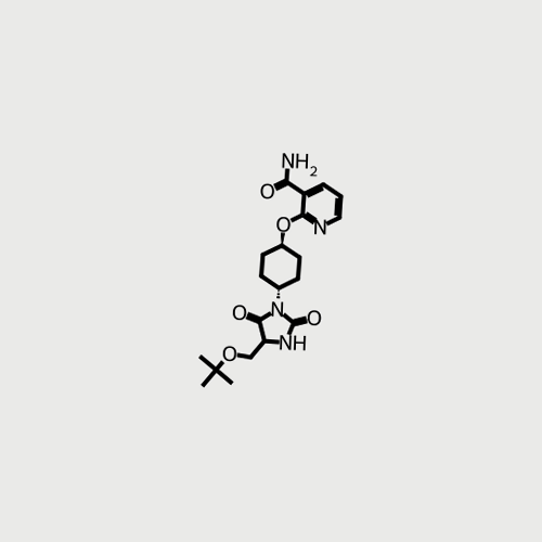 CC(C)(C)OCC1NC(=O)N([C@H]2CC[C@H](Oc3ncccc3C(N)=O)CC2)C1=O